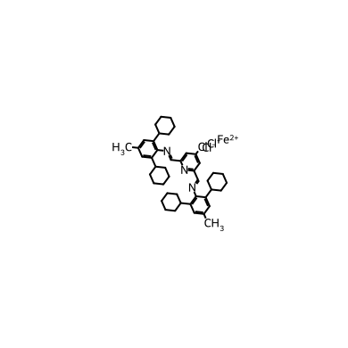 Cc1cc(C2CCCCC2)c(N=Cc2cc(Cl)cc(C=Nc3c(C4CCCCC4)cc(C)cc3C3CCCCC3)n2)c(C2CCCCC2)c1.[Cl-].[Cl-].[Fe+2]